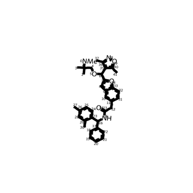 CNC(C)(C)COC(c1cc2cc(CC(=O)NC(c3ccccc3)c3ccc(C)cc3C)ccc2o1)c1c(C)noc1C